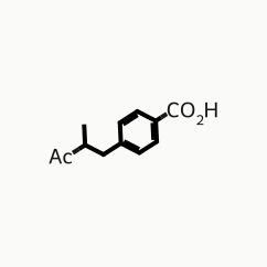 CC(=O)C(C)Cc1ccc(C(=O)O)cc1